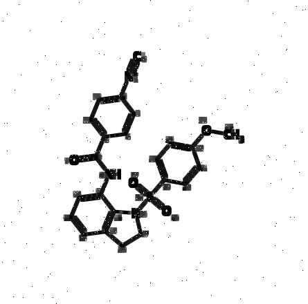 [C-]#[N+]c1ccc(C(=O)Nc2cccc3c2N(S(=O)(=O)c2ccc(OC)cc2)CC3)cc1